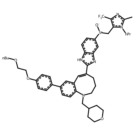 CCCCOCCOc1ccc(-c2ccc3c(c2)/C=C(/c2nc4cc([S+]([O-])Cc5c(C(F)(F)F)nc(C)n5CCC)ccc4[nH]2)CCCN3CC2CCOCC2)cc1